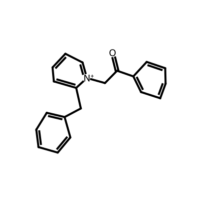 O=C(C[n+]1ccccc1Cc1ccccc1)c1ccccc1